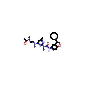 CC(=O)NCCNc1cc(C)nc(NC(=O)Nc2ccc3c(c2)C(C2CCCCCCC2)CO3)n1